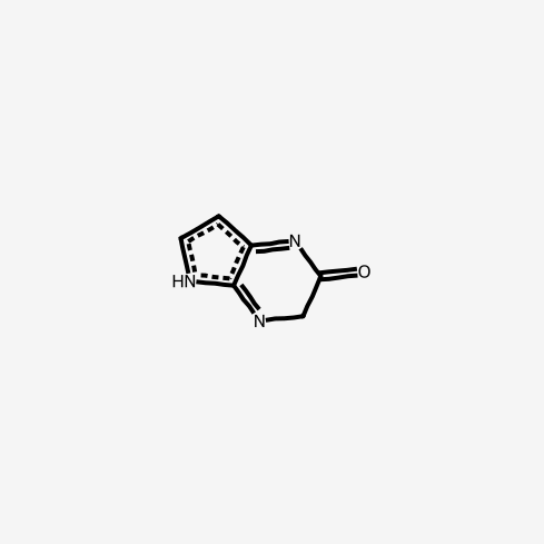 O=C1CN=c2[nH]ccc2=N1